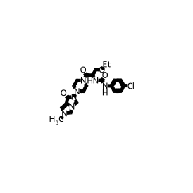 CCOCC(NC(=O)Nc1ccc(Cl)cc1)C(=O)N1CCN(N2CN3CN(C)C=C3C2=O)CC1